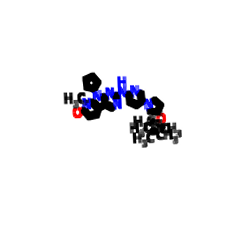 Cn1c(=O)ccc2c3cnc(Nc4ccc(N5CC[C@@H](O[Si](C)(C)C(C)(C)C)C5)cn4)nc3n(C3CCCC3)c21